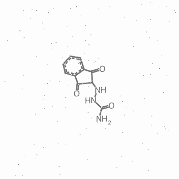 NC(=O)NNC1C(=O)c2ccccc2C1=O